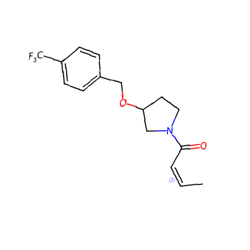 C/C=C\C(=O)N1CCC(OCc2ccc(C(F)(F)F)cc2)C1